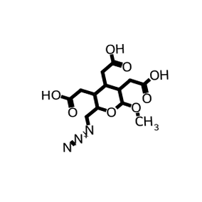 COC1OC(CN=[N+]=[N-])C(CC(=O)O)C(CC(=O)O)C1CC(=O)O